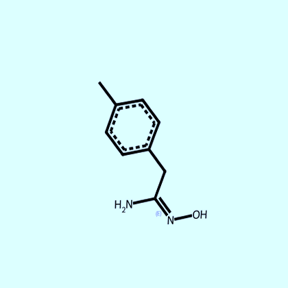 Cc1ccc(C/C(N)=N\O)cc1